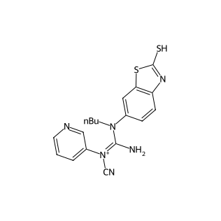 CCCCN(C(N)=[N+](C#N)c1cccnc1)c1ccc2nc(S)sc2c1